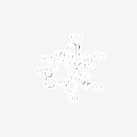 N[C@@H](Cc1c[nH]c2ccccc12)C(=O)N[C@@H](CC(=O)O)C(=O)N[C@@H](CC(=O)O)C(=O)N[C@@H](CC(=O)O)C(=O)N[C@@H](CC(=O)O)C(=O)O